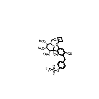 CC(=O)OC[C@H]1O[C@@](O)(c2cc(Cc3ccc(OS(=O)(=O)C(F)(F)F)cc3)c(C#N)cc2OC2CCC2)[C@H](OC(C)=O)[C@@H](OC(C)=O)[C@@H]1OC(C)=O